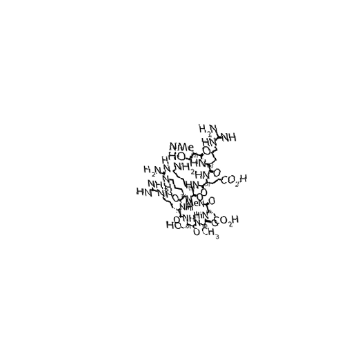 CNC(=O)[C@H](CC(=O)O)NC(=O)[C@H](C)NC(=O)[C@H](CO)NC(=O)[C@H](CCCNC(=N)N)NC(=O)[C@@H](CCCNC(=N)N)NC(=O)[C@H](CCCCN)NC(=O)[C@H](CCC(=O)O)NC(=O)[C@H](CCCNC(=N)N)NC(=O)[C@H](CO)NC